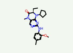 CC[C@@H]1C(=O)N(C)c2cnc(Nc3ccc(C)cc3OC)nc2N1C1CCCC1